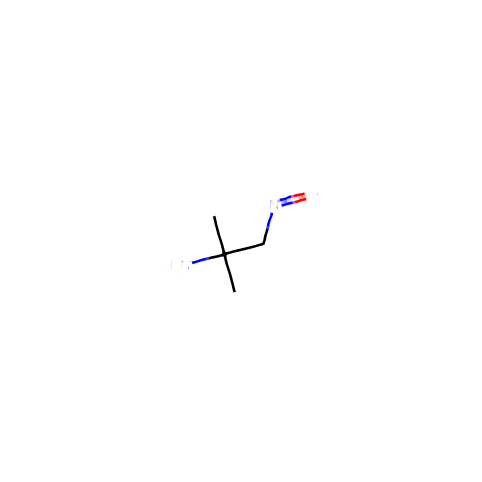 CC(C)(N)CN=O